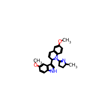 COc1ccc2c(c1)C=CC(c1c[nH]c3ccc(OC)cc13)N2C1=NC(C)CC1